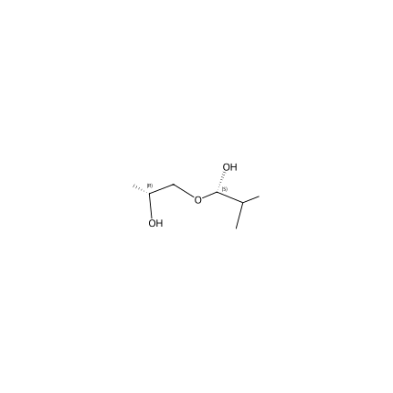 CC(C)[C@@H](O)OC[C@@H](C)O